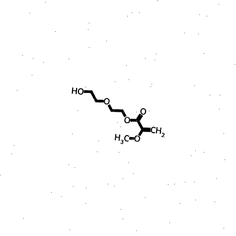 C=C(OC)C(=O)OCCOCCO